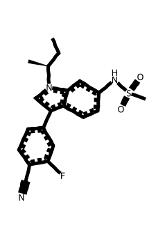 CC[C@H](C)n1cc(-c2ccc(C#N)c(F)c2)c2ccc(NS(C)(=O)=O)cc21